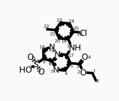 CCOC(=O)c1cnc2c(S(=O)(=O)O)cnn2c1Nc1cc(C)ccc1Cl